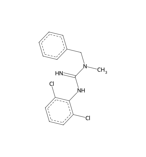 CN(Cc1ccccc1)C(=N)Nc1c(Cl)cccc1Cl